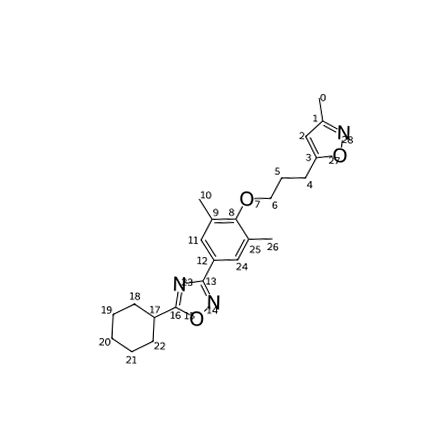 Cc1cc(CCCOc2c(C)cc(-c3noc(C4CCCCC4)n3)cc2C)on1